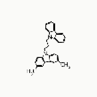 Cc1ccc2c(c1)c1cc(C)ccc1n2CCCn1c2ccccc2c2ccccc21